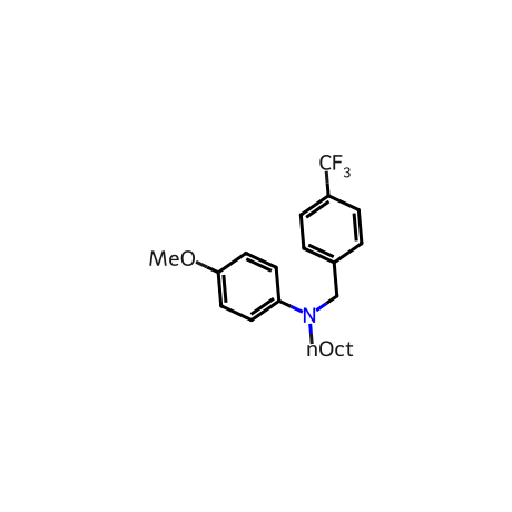 CCCCCCCCN(Cc1ccc(C(F)(F)F)cc1)c1ccc(OC)cc1